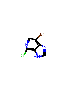 Clc1ncc(Br)c2nc[nH]c12